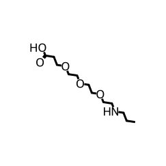 CCCNCCOCCOCCOCCC(=O)O